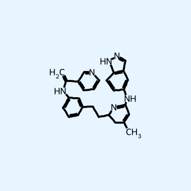 C=C(Nc1cccc(CCC2CC(C)=CC(Nc3ccc4[nH]ncc4c3)=N2)c1)c1cccnc1